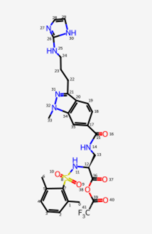 Cc1cccc(C)c1S(=O)(=O)N[C@@H](CNC(=O)c1ccc2c(CCCNc3ncc[nH]3)nn(C)c2c1)C(=O)OC(=O)C(F)(F)F